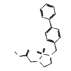 O=C(CN1CCN(Cc2ccc(-c3ccccc3)cc2)S1(=O)=O)NO